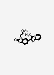 CC(=O)OCCn1c(=O)sc2ccc(-c3nc4ccccn4c3C)cc21